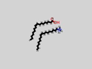 CCCCCCCC/C=C\CCCCCCCC(=O)O.CCCCCCCC/C=C\CCCCCCCC[N+](C)(C)C